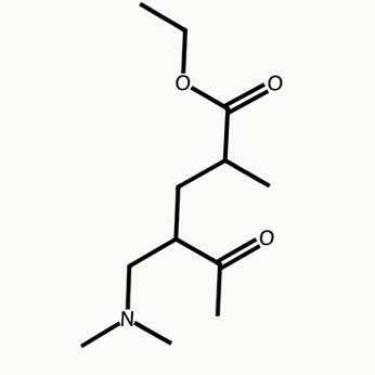 CCOC(=O)C(C)CC(CN(C)C)C(C)=O